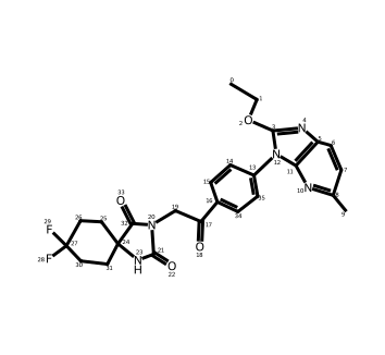 CCOc1nc2ccc(C)nc2n1-c1ccc(C(=O)CN2C(=O)NC3(CCC(F)(F)CC3)C2=O)cc1